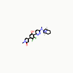 CN(c1ccc(-c2c(O)cc(-c3ccn(C)c(=O)c3)c(F)c2F)nn1)[C@H]1C[C@]2(C)CCC[C@](C)(C1)N2